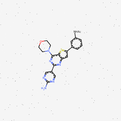 CC(=O)Nc1cccc(-c2cc3nc(-c4cnc(N)nc4)nc(N4CCOCC4)c3s2)c1